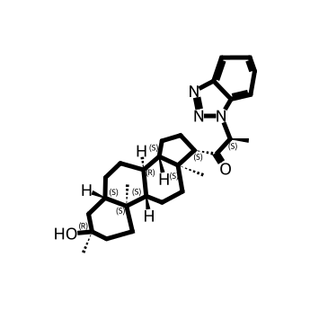 C[C@@H](C(=O)[C@H]1CC[C@H]2[C@@H]3CC[C@H]4C[C@](C)(O)CC[C@]4(C)[C@H]3CC[C@]12C)n1nnc2ccccc21